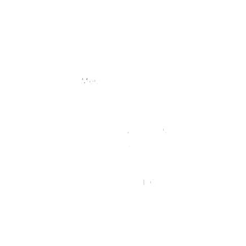 COc1ccc(C(C)C(=O)C(C)O)cc1